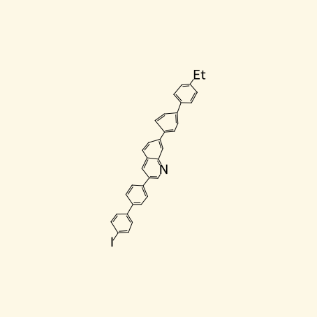 CCc1ccc(-c2ccc(-c3ccc4cc(-c5ccc(-c6ccc(I)cc6)cc5)cnc4c3)cc2)cc1